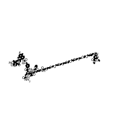 CCOC(=O)C(Cc1cnnn1CCOCCOCCOCCOCCOCCOCCOCCOCCOCCOCCOCCOCCC(=O)NCCCC[C@H](NC(=O)OC(C)(C)C)C(=O)N[C@H](C(=O)N[C@@H](CCCNC(N)=O)C(=O)Nc1ccc(COC(=O)N[C@H]2CCc3c(C)c(F)cc4nc5c(c2c34)Cn2c-5cc3c(c2=O)COC(=O)[C@]3(O)CC)cc1)C(C)C)C(=O)OCC